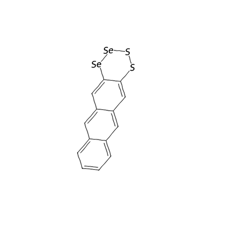 c1ccc2cc3cc4[se][se]ssc4cc3cc2c1